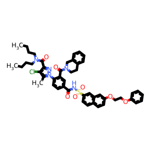 CCCCN(CCCC)C(=O)c1nn(-c2ccc(C(=O)NS(=O)(=O)c3ccc4ccc(OCCOc5ccccc5)cc4c3)cc2C(=O)N2CCc3ccccc3C2)c(C)c1Cl